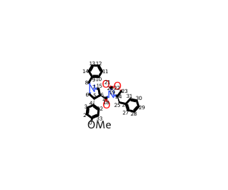 COc1ccc([C@@H]2CN(Cc3ccccc3)C[C@H]2C(=O)N2C(=O)OC[C@H]2Cc2ccccc2)cc1